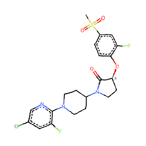 CS(=O)(=O)c1ccc(O[C@H]2CCN(C3CCN(c4ncc(Cl)cc4F)CC3)C2=O)c(F)c1